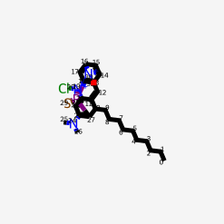 CCCCCCCCCCC1C2=Cc3ccc4cc3[N+]3(Cl)C2=CC(N(C)C)=C1P3(=S)[N+]4(C)C